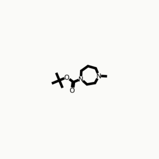 CN1CCCN(C(=O)OC(C)(C)C)CC1